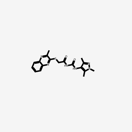 Cc1nc2ccccc2nc1SCC(=O)NC(=O)Nc1c(C)nn(C)c1C